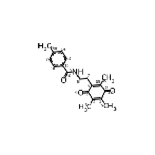 CC1=C(C)C(=O)C(CCNC(=O)c2ccc(C)cc2)=C(C)C1=O